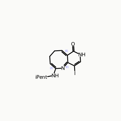 CCCC(C)NC1=C\CC/C=c2/c(=O)[nH]cc(I)/c2=N/1